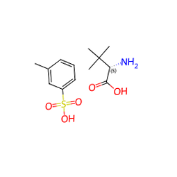 CC(C)(C)[C@H](N)C(=O)O.Cc1cccc(S(=O)(=O)O)c1